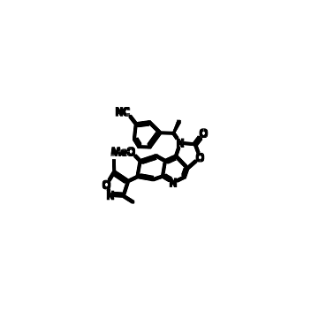 COc1cc2c(cc1-c1c(C)noc1C)ncc1oc(=O)n([C@H](C)c3cccc(C#N)c3)c12